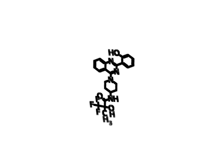 CC(O)(C(=O)NC1CCN(c2nc(-c3ccccc3O)nc3ccccc23)CC1)C(F)(F)F